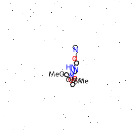 COc1ccc(N(C(=O)Oc2ccccc2SC)c2ccnc(Nc3cccc(OCCCN4CCCCC4)c3)n2)c(OC)c1